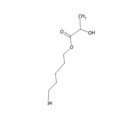 CC(C)CCCCCOC(=O)C(C)O